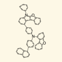 c1ccc(-n2c3cccc(-c4ccc(N(c5ccc(-c6cccc7ccccc67)cc5)c5cccc6oc7ccccc7c56)cc4)c3c3c4ccccc4oc32)cc1